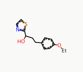 CCOc1ccc(CCC(O)c2nccs2)cc1